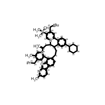 C=C1CC2C(CCc3ccc4c(oc5nc(C)ccc54)c3-c3cc(CC(C)C)c(C)c[n+]31)c1cc(C3CCCCC3)ccc1-c1cc(CC(C)(C)C)c([Si](C)(C)C)c[n+]12